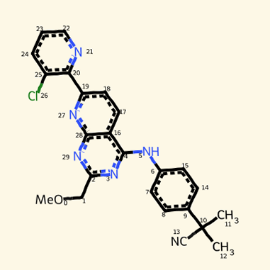 COCc1nc(Nc2ccc(C(C)(C)C#N)cc2)c2ccc(-c3ncccc3Cl)nc2n1